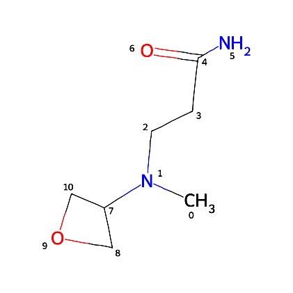 CN(CCC(N)=O)C1COC1